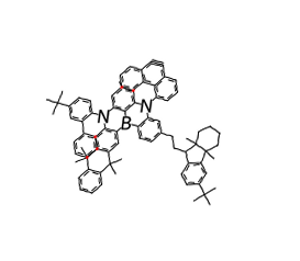 Cc1cc2c3c(c1)N(c1cccc4c#cc5ccccc5c14)c1cc(CCC4c5ccc(C(C)(C)C)cc5C5(C)CCCCC45C)ccc1B3c1cc3c(cc1N2c1ccc(C(C)(C)C)cc1-c1ccccc1)C(C)(C)c1ccccc1C3(C)C